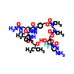 CC(C)C(=O)CCC(=O)N[C@H](C(=O)N[C@@H](CCCNC(N)=O)C(=O)Nc1ccc(COC(=O)N(C)CCN(C)C(=O)OC[C@H]2O[C@@H](n3ccc(N)nc3=O)C(F)(F)C2O)cc1)C(C)C